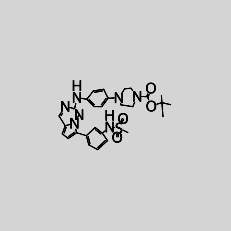 CC(C)(C)OC(=O)N1CCN(c2ccc(Nc3ncc4ccc(-c5cccc(NS(C)(=O)=O)c5)n4n3)cc2)CC1